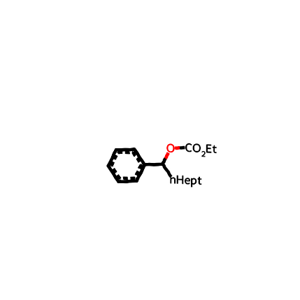 CCCCCCCC(OC(=O)OCC)c1ccccc1